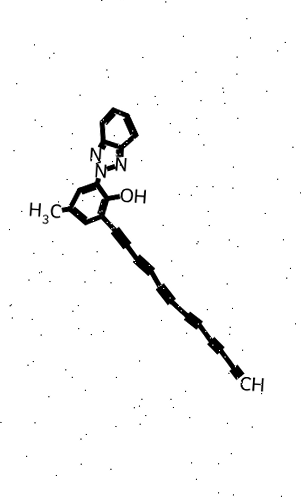 C#CC#CC#CC#CC#CC#Cc1cc(C)cc(-n2nc3ccccc3n2)c1O